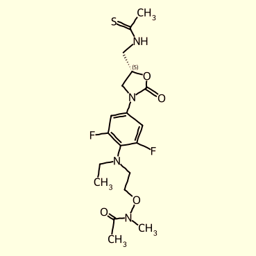 CCN(CCON(C)C(C)=O)c1c(F)cc(N2C[C@H](CNC(C)=S)OC2=O)cc1F